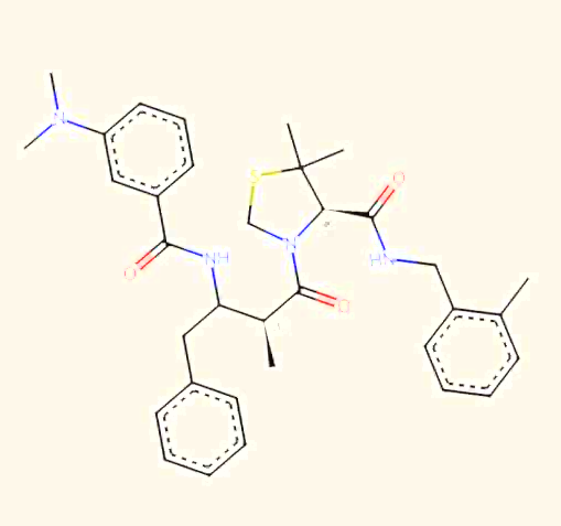 Cc1ccccc1CNC(=O)[C@H]1N(C(=O)[C@@H](C)C(Cc2ccccc2)NC(=O)c2cccc(N(C)C)c2)CSC1(C)C